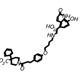 O=C(CCc1ccc(OCCCCNC[C@H](O)c2ccc(O)c3[nH]c(=O)ccc23)cc1)N1CCC(C(=O)O)(c2ccccc2)CC1